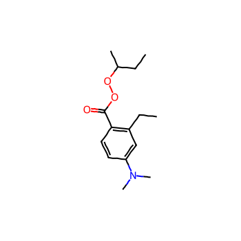 CCc1cc(N(C)C)ccc1C(=O)OOC(C)CC